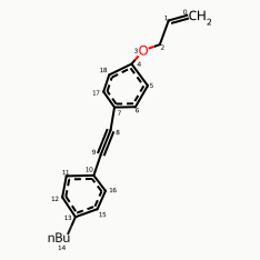 C=CCOc1ccc(C#Cc2ccc(CCCC)cc2)cc1